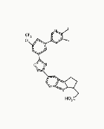 Cc1cc(-c2cc(OC(F)(F)F)cc(-c3nc(-c4ccc5c(c4)=C4CCC(CC(=O)O)C4N=5)no3)c2)cnc1F